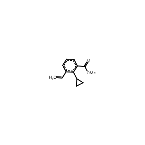 C=Cc1cccc(C(=O)OC)c1C1CC1